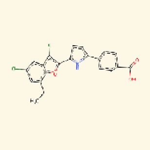 CCc1cc(Cl)cc2c(Cl)c(-c3ccc(-c4ccc(C(=O)O)cc4)[nH]3)oc12